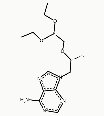 CCOP(CO[C@H](C)Cn1cnc2c(N)ncnc21)OCC